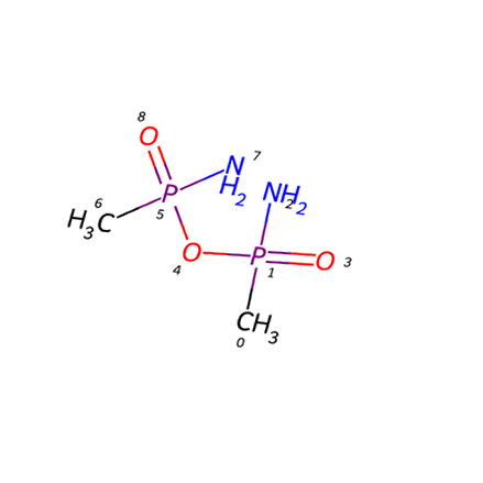 CP(N)(=O)OP(C)(N)=O